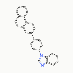 c1ccc2c(c1)ccc1cc(-c3ccc(-n4cnc5ccccc54)cc3)ccc12